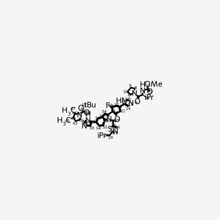 COC(=O)N[C@H](C(=O)N1CCC[C@H]1c1ncc(-c2cc(F)c3c(c2)OC(c2cnc(CC(C)C)s2)n2c-3cc3cc(-c4cnc([C@@H]5C[C@H](C)[C@@H](C)N5C(=O)OC(C)(C)C)[nH]4)ccc32)[nH]1)C(C)C